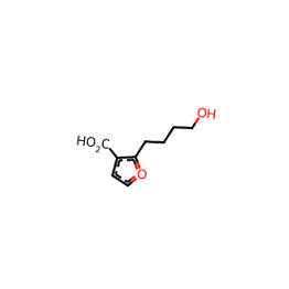 O=C(O)c1ccoc1CCCCO